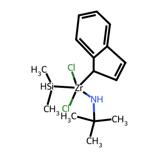 C[SiH](C)[Zr]([Cl])([Cl])([NH]C(C)(C)C)[CH]1C=Cc2ccccc21